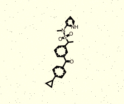 CC(c1cccc(C(=O)c2ccc(C3CC3)cc2)c1)S(=O)(=O)N(C)c1ccc[nH]1